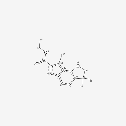 CCOC(=O)c1[nH]c2ccc3c(c2c1I)OCC3(C)C